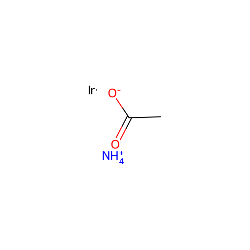 CC(=O)[O-].[Ir].[NH4+]